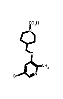 Nc1ncc(Br)cc1OCC1CCN(C(=O)O)CC1